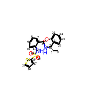 CC[C@H](NC(=O)c1ccccc1NS(=O)(=O)c1cccs1)c1ccccc1